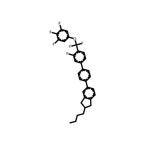 CCCCC1Cc2ccc(-c3ccc(-c4ccc(C(F)(F)Oc5cc(F)c(F)c(F)c5)c(F)c4)cc3)cc2C1